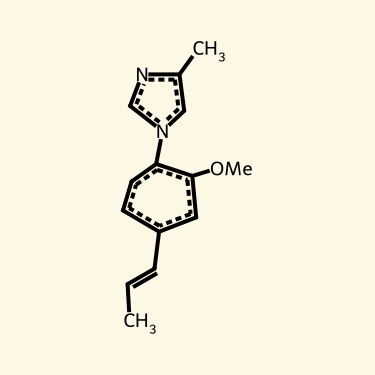 C/C=C/c1ccc(-n2cnc(C)c2)c(OC)c1